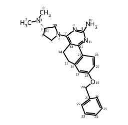 CN(C)[C@H]1CCN(c2nc(N)nc3c2CCc2cc(OCc4ccccc4)ccc2-3)C1